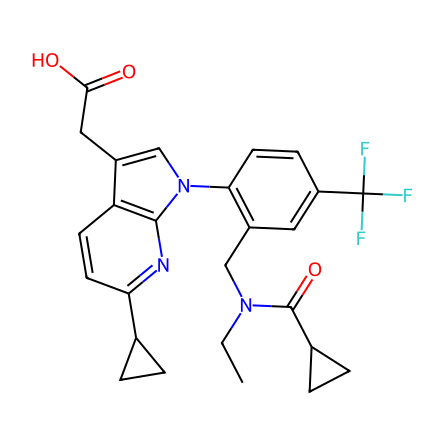 CCN(Cc1cc(C(F)(F)F)ccc1-n1cc(CC(=O)O)c2ccc(C3CC3)nc21)C(=O)C1CC1